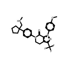 CNCC1(c2ccc(N3CCc4c(C(F)(F)F)nn(-c5ccc(OC)cc5)c4C3=O)cc2)CCCC1